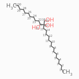 CCCCCCCCCCCCCCCCC(O)(CO)C(O)CCCCCCCCCC